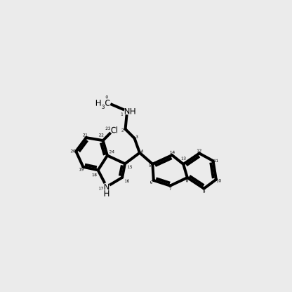 CNCCC(c1ccc2ccccc2c1)c1c[nH]c2cccc(Cl)c12